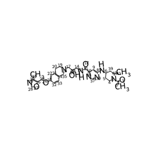 CC(=O)N1CCC(Nc2cc(C(=O)NC[C@H](O)CN3CCc4cc(OCc5ocnc5C)ccc4C3)ncn2)CC1C